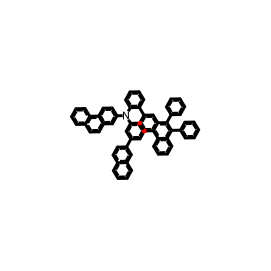 c1ccc(-c2c(-c3ccccc3)c3cc(-c4ccccc4N(c4cccc(-c5ccc6ccccc6c5)c4)c4ccc5c(ccc6ccccc65)c4)ccc3c3ccccc23)cc1